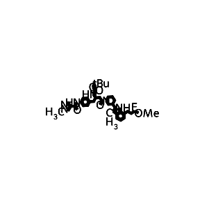 COC(F)CCc1cccc2c(C)c(C3CCCN(C(=O)CC(Cc4ccc(NC(=O)c5cnn(C)c5)cc4)NC(=O)OC(C)(C)C)C3)[nH]c12